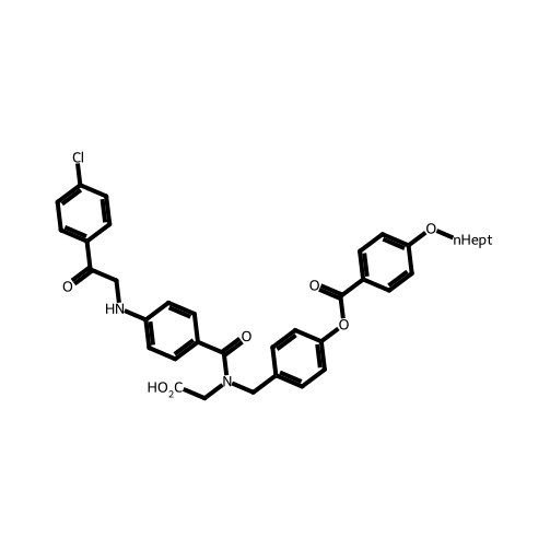 CCCCCCCOc1ccc(C(=O)Oc2ccc(CN(CC(=O)O)C(=O)c3ccc(NCC(=O)c4ccc(Cl)cc4)cc3)cc2)cc1